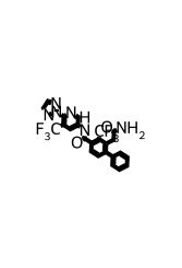 NC(=O)Cc1c(-c2ccccc2)ccc(C(=O)Nc2cnc(-n3nccn3)c(C(F)(F)F)c2)c1C(F)(F)F